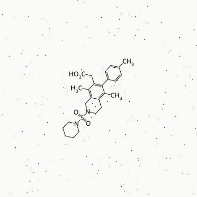 Cc1ccc(-c2c(C)c3c(c(C)c2CC(=O)O)CN(S(=O)(=O)N2CCCCC2)CC3)cc1